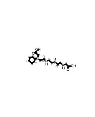 O=C(O)CNCC(=O)NCCNC(=O)CN(CC(=O)O)C1CCCCC1